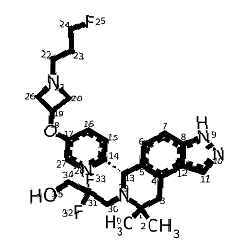 CC1(C)Cc2c(ccc3[nH]ncc23)[C@@H](c2ccc(OC3CN(CCCF)C3)cn2)N1CC(F)(F)CO